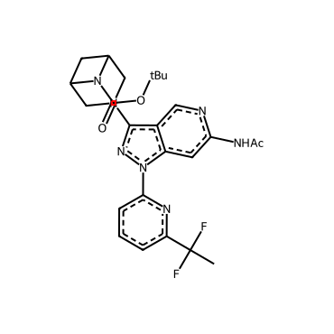 CC(=O)Nc1cc2c(cn1)c(N1CC3CC(C1)N3C(=O)OC(C)(C)C)nn2-c1cccc(C(C)(F)F)n1